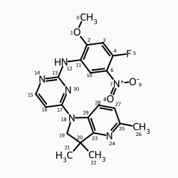 COc1cc(F)c([N+](=O)[O-])cc1Nc1nccc(N2CC(C)(C)c3nc(C)ccc32)n1